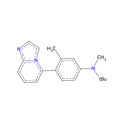 Cc1cc(N(C)C(C)(C)C)ccc1-c1cccc2nccn12